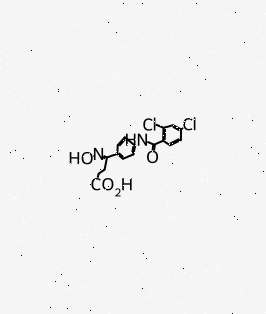 O=C(O)CC/C(=N\O)c1ccc(NC(=O)c2ccc(Cl)cc2Cl)cc1